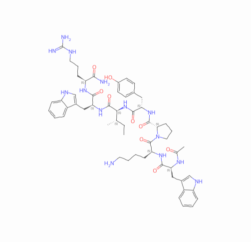 CC[C@H](C)[C@H](NC(=O)[C@H](Cc1ccc(O)cc1)NC(=O)[C@@H]1CCCN1C(=O)[C@H](CCCCN)NC(=O)[C@H](Cc1c[nH]c2ccccc12)NC(C)=O)C(=O)N[C@@H](Cc1c[nH]c2ccccc12)C(=O)N[C@@H](CCCNC(=N)N)C(N)=O